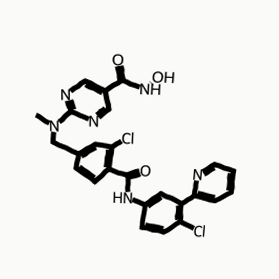 CN(Cc1ccc(C(=O)Nc2ccc(Cl)c(-c3ccccn3)c2)c(Cl)c1)c1ncc(C(=O)NO)cn1